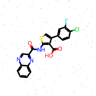 O=C(Nc1scc(-c2ccc(Cl)c(F)c2)c1C(=O)O)c1cnc2ccccc2n1